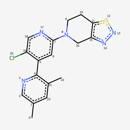 Cc1cnc(-c2cc(N3CCc4snnc4C3)ncc2Cl)c(C)c1